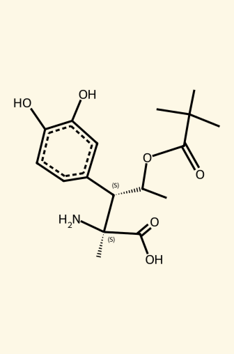 CC(OC(=O)C(C)(C)C)[C@@H](c1ccc(O)c(O)c1)[C@](C)(N)C(=O)O